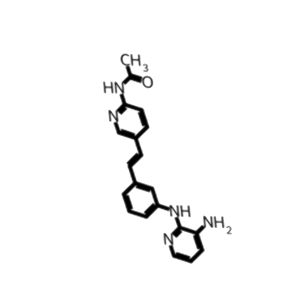 CC(=O)Nc1ccc(C=Cc2cccc(Nc3ncccc3N)c2)cn1